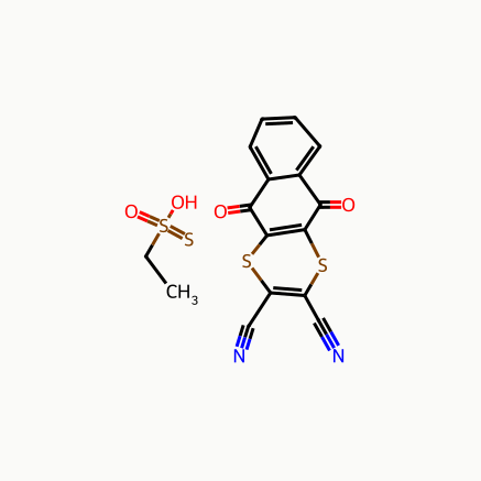 CCS(=O)(O)=S.N#Cc1sc2c(=O)c3ccccc3c(=O)c=2sc1C#N